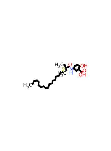 CC/C=C\C/C=C\C/C=C\CCCCCCCCSC(CC)(CC)C(=O)Nc1ccc(O)c(C(=O)O)c1